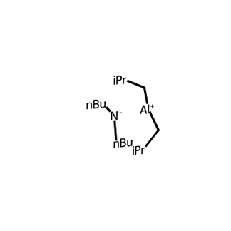 CC(C)[CH2][Al+][CH2]C(C)C.CCCC[N-]CCCC